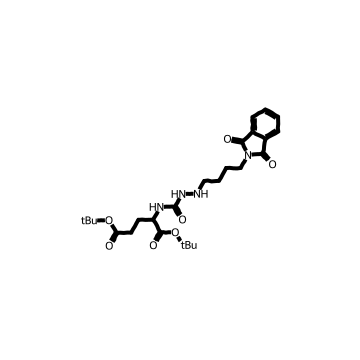 CC(C)(C)OC(=O)CCC(NC(=O)NNCCCCN1C(=O)c2ccccc2C1=O)C(=O)OC(C)(C)C